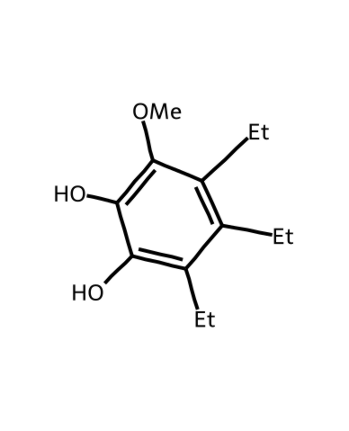 CCc1c(O)c(O)c(OC)c(CC)c1CC